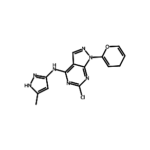 Cc1cc(Nc2nc(Cl)nc3c2cnn3C2=CCC=CO2)n[nH]1